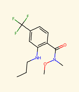 CCCNc1cc(C(F)(F)F)ccc1C(=O)N(C)OC